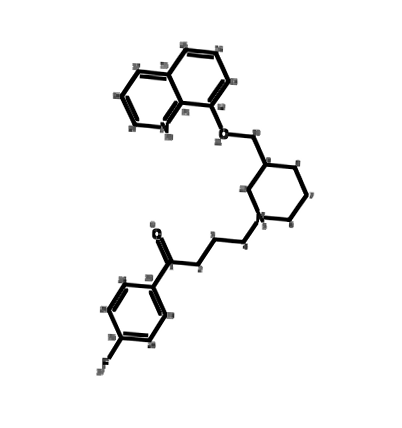 O=C(CCCN1CCCC(COc2cccc3cccnc23)C1)c1ccc(F)cc1